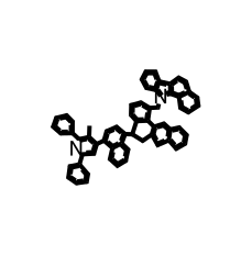 Cc1c(-c2ccc(C3Cc4cc5ccccc5cc4-c4c(Cn5c6ccccc6c6ccc7ccccc7c65)cccc43)c3ccccc23)cc(-c2ccccc2)nc1-c1ccccc1